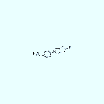 NCc1ccc(N2CC3CC(F)CC3C2)cc1